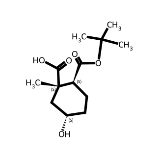 CC(C)(C)OC(=O)[C@H]1CC[C@H](O)C[C@]1(C)C(=O)O